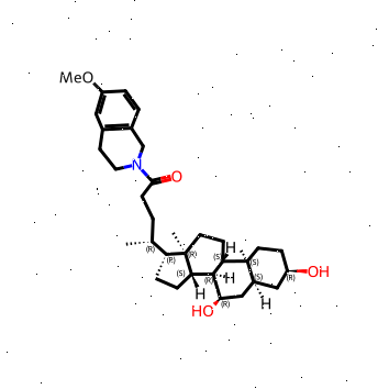 COc1ccc2c(c1)CCN(C(=O)CC[C@@H](C)[C@H]1CC[C@H]3[C@@H]4[C@H](O)C[C@@H]5C[C@H](O)CC[C@]5(C)[C@H]4CC[C@]13C)C2